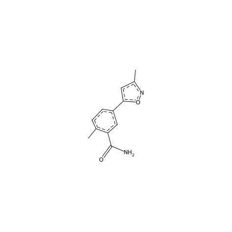 Cc1cc(-c2ccc(C)c(C(N)=O)c2)on1